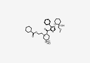 COC[C@]1(O)CCCC[C@H]1n1cnc(C(=O)N2CCNC[C@H]2CCOC(=O)N2CCCCC2)c1-c1ccccc1.Cl.Cl